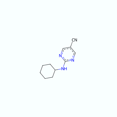 N#Cc1cnc(NC2CCCCC2)nc1